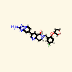 Nc1nc2cc(-c3cnc4c(c3)C(=O)N(Cc3cc(F)ccc3OC3CCOC3)CC4)ccn2n1